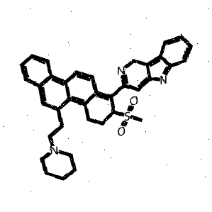 CS(=O)(=O)C1CCc2c3c(ccc2=C1C1=NCC2=c4c[c]ccc4=NC2=C1)=c1ccccc1=CC3CCN1CCCCC1